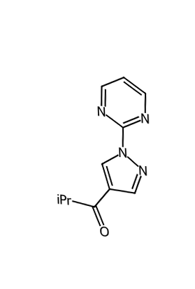 CC(C)C(=O)c1cnn(-c2ncccn2)c1